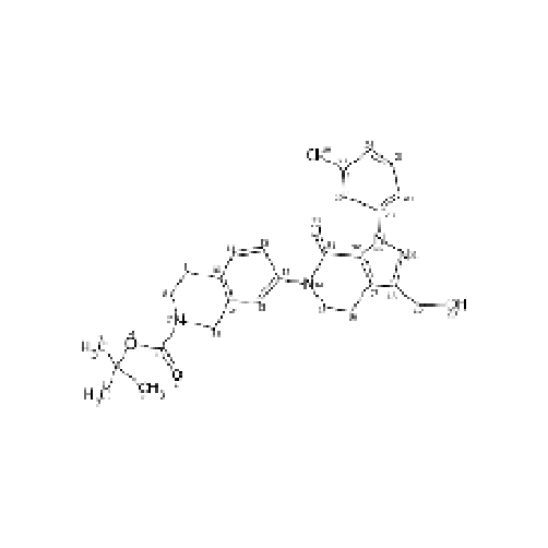 CC(C)(C)OC(=O)N1CCc2ccc(N3CCc4c(CO)nn(-c5cccc(Cl)c5)c4C3=O)cc2C1